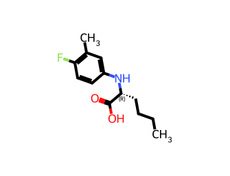 CCCC[C@@H](Nc1ccc(F)c(C)c1)C(=O)O